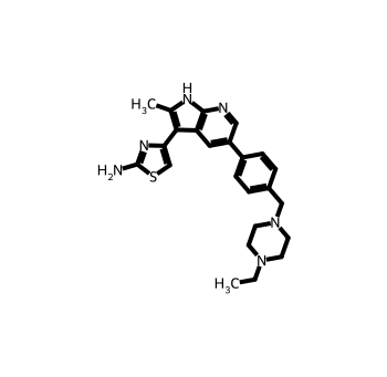 CCN1CCN(Cc2ccc(-c3cnc4[nH]c(C)c(-c5csc(N)n5)c4c3)cc2)CC1